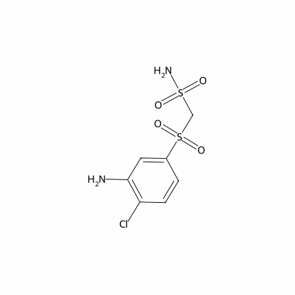 Nc1cc(S(=O)(=O)CS(N)(=O)=O)ccc1Cl